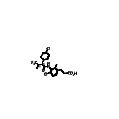 Cc1c(CCC(=O)O)ccc(Cl)c1NC(=O)[C@H](C1C=CC(Cl)=CC1)[C@@H](C)C(F)(F)F